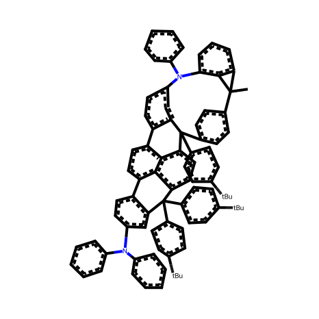 CC(C)(C)c1ccc(C2(c3ccc(C(C)(C)C)cc3)c3cc(N(c4ccccc4)c4ccccc4)ccc3-c3ccc4c5c(ccc2c35)C2(c3ccc(C(C)(C)C)cc3)c3ccc(cc3)C3(C)c5cccc(c53)N(c3ccccc3)c3ccc-4c2c3)cc1